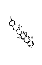 NC(CC(=O)N[C@@H]1Cc2cnccc2NC1=O)Cc1ccc(F)cc1